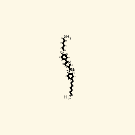 CCCCCCCCc1ccc(OC(=O)c2cnc(-c3ccc(OCCCCCCC)cc3)cn2)c(F)c1